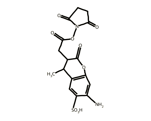 CC1c2cc(S(=O)(=O)O)c(N)cc2OC(=O)C1CC(=O)ON1C(=O)CCC1=O